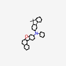 CC1(C)c2ccccc2-c2cc(N(c3ccccc3)c3ccc4c(c3)oc3ccc5ccccc5c34)ccc21